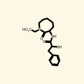 O=C(O)CN1CCCCCC(NC(=O)C(S)Cc2ccccc2)C1=O